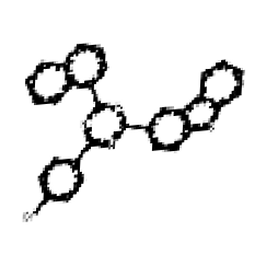 Brc1ccc(-c2nc(-c3ccc4sc5ccccc5c4c3)nc(-c3cccc4ccccc34)n2)cc1